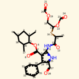 CC1CC(C)C(OC(=O)c2c(NC(=O)C(C)SC(COC=O)OC=O)[nH]c(C=O)c2-c2ccccc2)C(C)C1